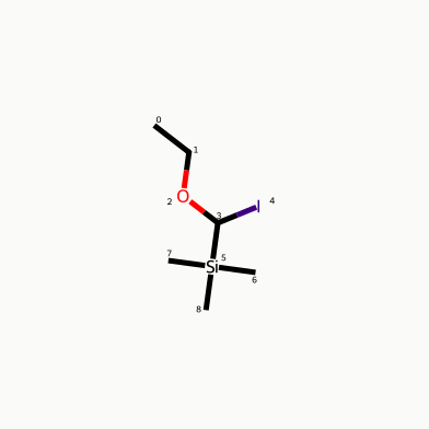 CCOC(I)[Si](C)(C)C